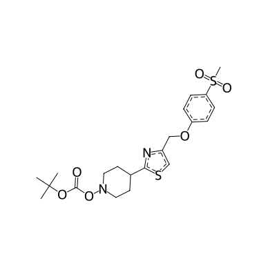 CC(C)(C)OC(=O)ON1CCC(c2nc(COc3ccc(S(C)(=O)=O)cc3)cs2)CC1